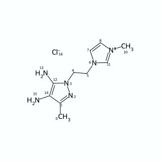 Cc1nn(CCn2cc[n+](C)c2)c(N)c1N.[Cl-]